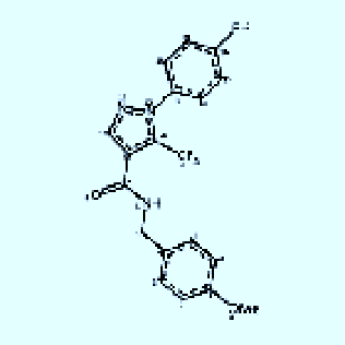 COc1ccc(CNC(=O)c2cnn(-c3ccc(F)cc3)c2C(F)(F)F)cc1